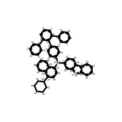 c1ccc(-c2cccc(-c3ccccc3)c2-c2ccc(N(c3ccc4c(c3)sc3ccccc34)c3ccc(C4CCCCC4)c4ccccc34)cc2)cc1